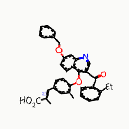 CCc1ccccc1C(=O)c1cnc2cc(OCc3ccccc3)ccc2c1Oc1ccc(/C=C(\C)C(=O)O)cc1C